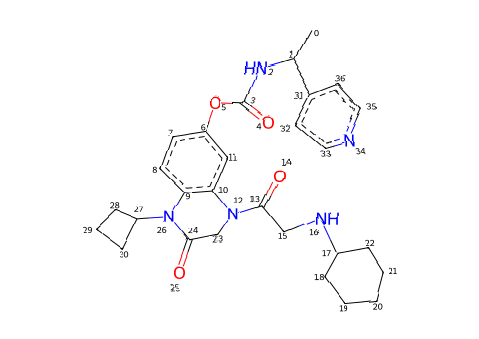 CC(NC(=O)Oc1ccc2c(c1)N(C(=O)CNC1CCCCC1)CC(=O)N2C1CCC1)c1ccncc1